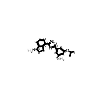 CC(C)Oc1cc(N)cc(-c2nc(-c3cccc4c3CC[C@@H]4N)no2)c1